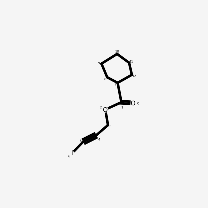 O=C(OCC#CI)C1CCCCC1